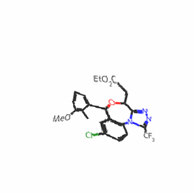 CCOC(=O)CC1OC(c2cccc(OC)c2C)c2cc(Cl)ccc2-n2c1nnc2C(F)(F)F